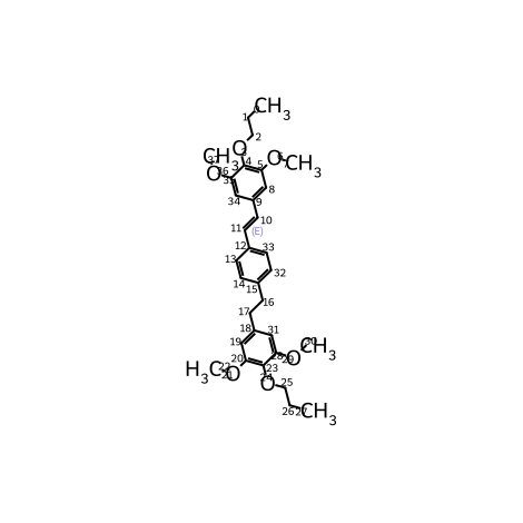 CCCOc1c(OC)cc(/C=C/c2ccc(CCc3cc(OC)c(OCCC)c(OC)c3)cc2)cc1OC